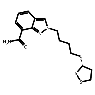 NC(=O)c1cccc2cn(CCCCC[C@@H]3CCSS3)nc12